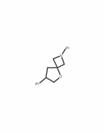 CC(C)C1COC2(C1)CN(C(C)C)C2